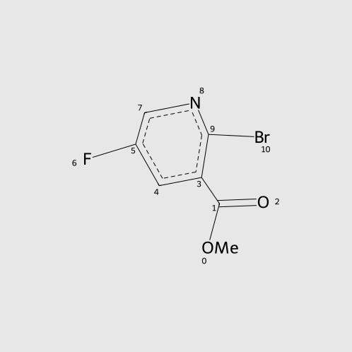 COC(=O)c1cc(F)cnc1Br